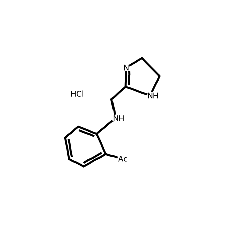 CC(=O)c1ccccc1NCC1=NCCN1.Cl